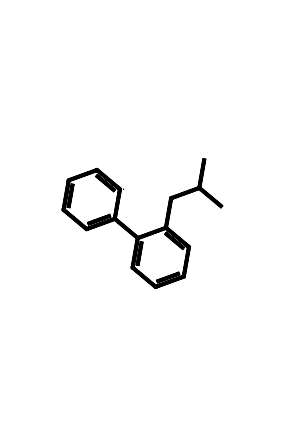 CC(C)Cc1ccccc1-c1[c]cccc1